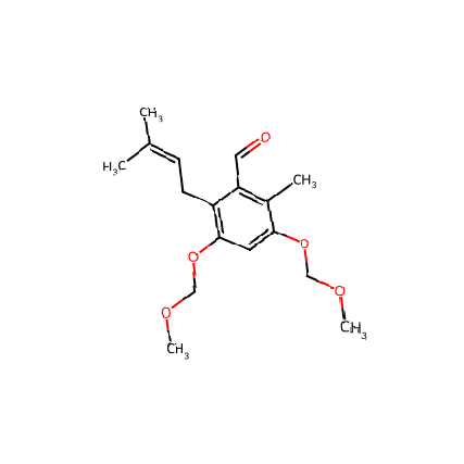 COCOc1cc(OCOC)c(CC=C(C)C)c(C=O)c1C